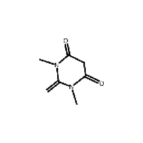 C=C1N(C)C(=O)CC(=O)N1C